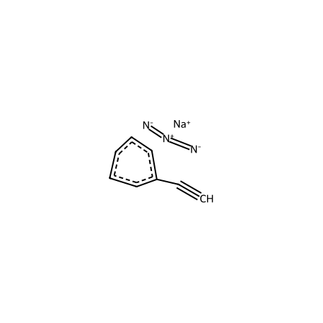 C#Cc1ccccc1.[N-]=[N+]=[N-].[Na+]